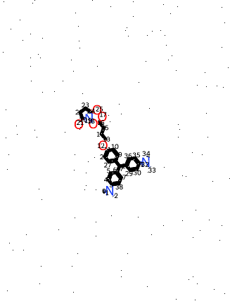 CN(C)c1ccc(C(c2ccc(OCCCC(=O)ON3C(=O)CCC3=O)cc2)c2ccc(N(C)C)cc2)cc1